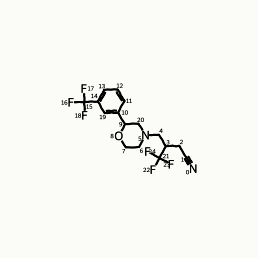 N#CCC(CN1CCOC(c2cccc(C(F)(F)F)c2)C1)C(F)(F)F